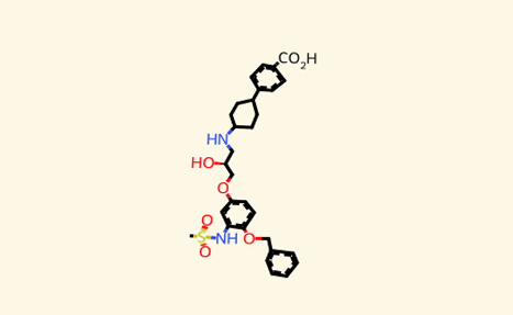 CS(=O)(=O)Nc1cc(OC[C@@H](O)CNC2CCC(c3ccc(C(=O)O)cc3)CC2)ccc1OCc1ccccc1